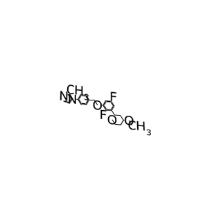 COC1CCOC(c2cc(F)cc(OCc3ccc(-n4ccnc4C)cc3)c2F)C1